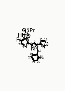 CC(C)S(=O)(=O)Nc1nc(-c2cc(-c3ccon3)n(Cc3ccccc3F)n2)ncc1F